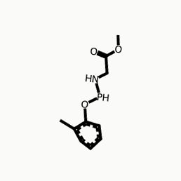 COC(=O)CNPOc1ccccc1C